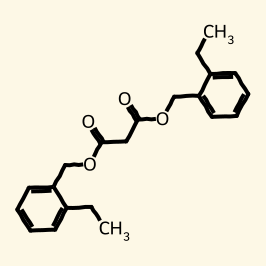 CCc1ccccc1COC(=O)CC(=O)OCc1ccccc1CC